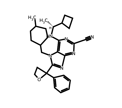 CC1CCC(Cn2c(C3(c4ccccc4)CCO3)nc3nc(C#N)nc(N[C@H](C)C4CCC4)c32)CC1